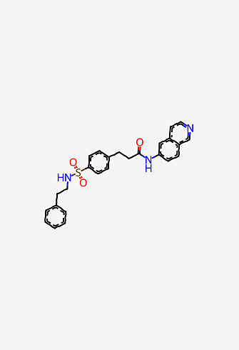 O=C(CCc1ccc(S(=O)(=O)NCCc2ccccc2)cc1)Nc1ccc2cnccc2c1